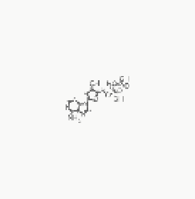 NC1=NC=NC2C1N=CN2[C@H]1CC(O)[C@@H](COP(=O)(O)OP(=O)(O)O)O1